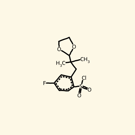 CC(C)(Cc1cc(F)ccc1S(=O)(=O)Cl)C1OCCO1